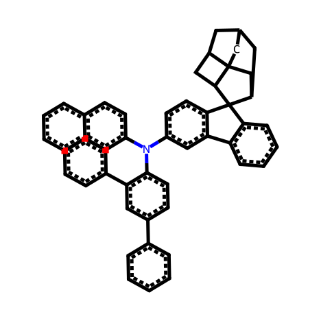 c1ccc(-c2ccc(N(c3ccc4c(c3)-c3ccccc3C43C4CC5CC6CC3C6(C5)C4)c3ccc4ccccc4c3)c(-c3ccccc3)c2)cc1